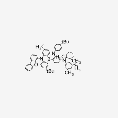 Cc1cc2c3c(c1)N(c1cccc4c1oc1ccccc14)c1ccc(C(C)(C)C)cc1B3c1ccc(N3c4cc(C)cc(C)c4C4(C)CCCCC34C)cc1N2c1ccc(C(C)(C)C)cc1